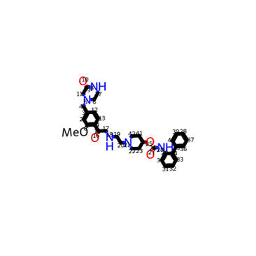 COc1cc(CN2CCNC(=O)C2)ccc1C(=O)CNCCN1CCC(OC(=O)Nc2ccccc2-c2ccccc2)CC1